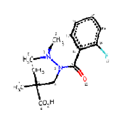 CN(C)N(CC(C)(C)C(=O)O)C(=O)c1ccccc1F